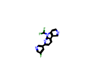 Fc1cncc(-c2ccc3c4cnccc4n(C(F)F)c3n2)c1